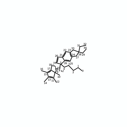 CCCCC[C]1([Hf]([CH3])([CH3])[C]2(C)C(C)=C(C)C(C)=C2C)C=Cc2cc3c(cc21)CC(CC)(CC)C3